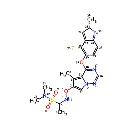 Cc1c(ONC(C)S(=O)(=O)N(C)C)cn2ncnc(Oc3ccc4c(c3F)=CC(C)N=4)c12